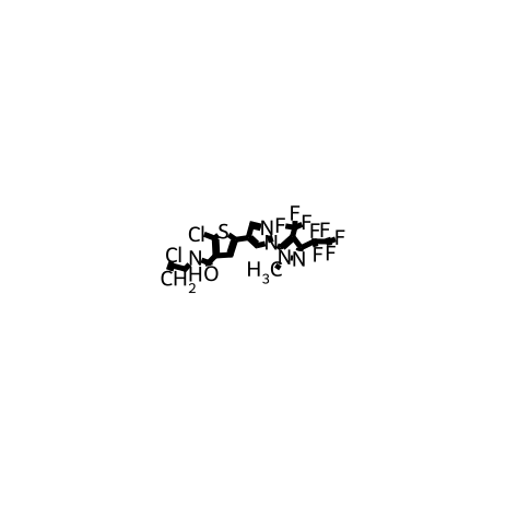 C=C(Cl)CNC(=O)c1cc(-c2cnn(-c3c(C(F)(F)F)c(C(F)(F)C(F)(F)F)nn3C)c2)sc1Cl